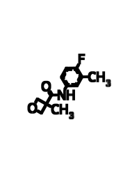 Cc1cc(NC(=O)C2(C)COC2)ccc1F